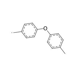 [CH2]c1ccc(Oc2ccc(C)cc2)cc1